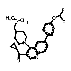 CN(C)CC1CCN(c2c(C(=O)C3CC3)cnc3ccc(-c4ccc(OC(F)F)cc4)cc23)CC1